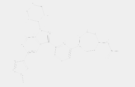 Cn1cc(-c2cc3c(-c4cccc(N5CCCC(NC(=O)O)CC5)n4)nn(C4CCCCO4)c3cn2)cn1